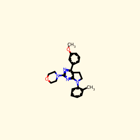 COc1cccc(-c2nc(N3CCOCC3)nc3c2CCN3c2ccccc2C)c1